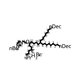 CCCCCCCCCCCCCCCCCCC(CCCCCCCCCCCCCCCCCC)CCCCC(CCC(C)CCCC(C)C)OCCn1cc[n+](CCCC)c1.[Br-]